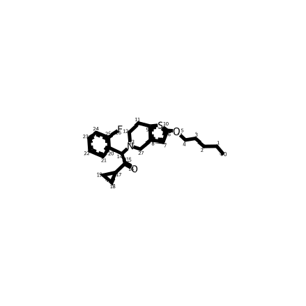 CCCCCOc1cc2c(s1)CCN(C(C(=O)C1CC1)c1ccccc1F)C2